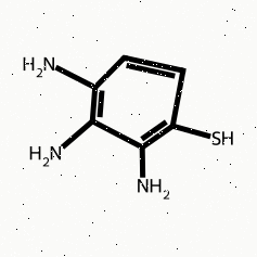 Nc1ccc(S)c(N)c1N